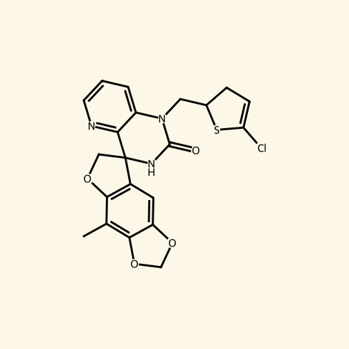 Cc1c2c(cc3c1OCC31NC(=O)N(CC3CC=C(Cl)S3)c3cccnc31)OCO2